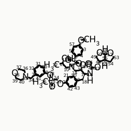 COc1ccc(S(=O)(=O)N(CC(C)C)C[C@@H](O)[C@H](Cc2ccc(OCP(C)(=O)Oc3cccc(CN4CCOCC4)c3)cc2)NC(=O)O[C@H]2CO[C@H]3OCC[C@H]32)cc1